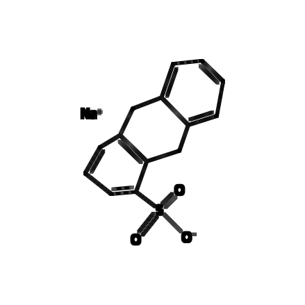 O=S(=O)([O-])c1cccc2c1Cc1ccccc1C2.[Na+]